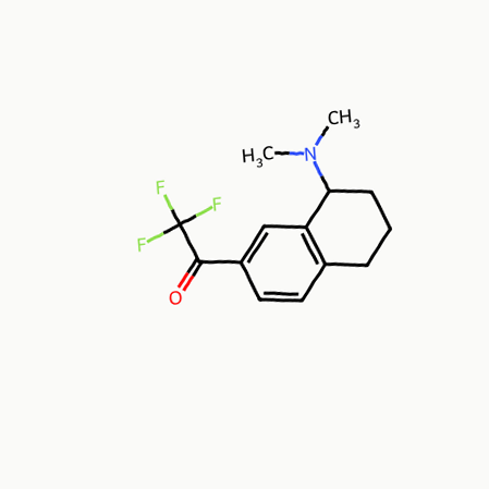 CN(C)C1CCCc2ccc(C(=O)C(F)(F)F)cc21